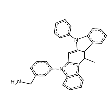 CC1c2c(n(-c3cccc(CN)c3)c3ccccc23)C=C2C1c1ccccc1N2c1ccccc1